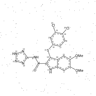 COc1cc2[nH]c(C(=O)Nc3nn[nH]n3)c(Sc3ccc(Cl)c(Cl)c3)c2cc1OC